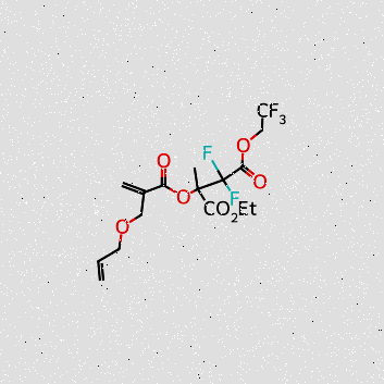 C=CCOCC(=C)C(=O)OC(C)(C(=O)OCC)C(F)(F)C(=O)OCC(F)(F)F